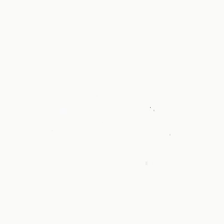 CCCC1(CC)CN(c2ccccc2)c2cc(SC)c(O/C=C(\F)C(=O)O)cc2S(O)(O)C1